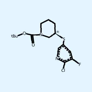 CC(C)(C)OC(=O)N1CCC[C@@H](Sc2cnc(Cl)c(F)c2)C1